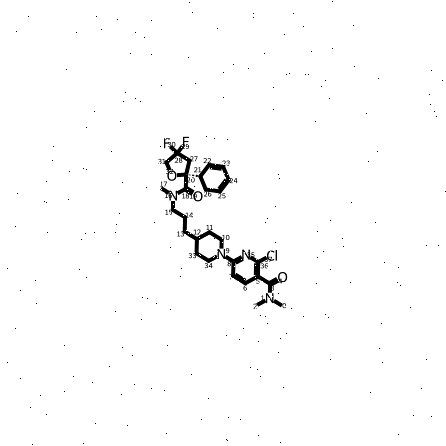 CN(C)C(=O)c1ccc(N2CCC(CCCN(C)C(=O)[C@]3(C4C=CC=CC4)CC(F)(F)CO3)CC2)nc1Cl